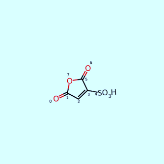 O=C1C=C(S(=O)(=O)O)C(=O)O1